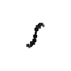 C=CC(=O)Sc1ccc(C#Cc2ccc(-c3ccc(SC(=O)C=C)cc3)cc2)cc1